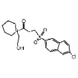 O=C(CCS(=O)(=O)c1ccc2cc(Cl)ccc2c1)[N+]1(CCO)CCCCC1